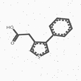 O=C(O)Cc1[c]scc1-c1ccccc1